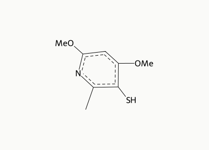 COc1cc(OC)c(S)c(C)n1